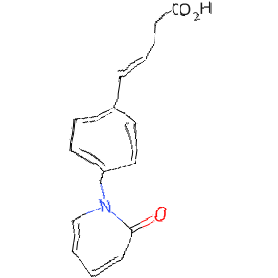 O=C(O)CC=Cc1ccc(-n2ccccc2=O)cc1